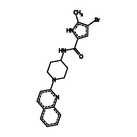 Cc1[nH]c(C(=O)NC2CCN(c3ccc4ccccc4n3)CC2)cc1Br